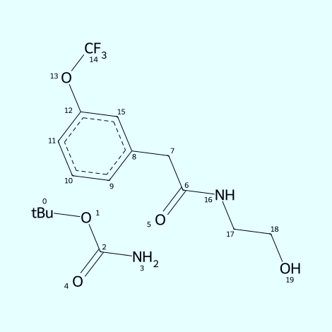 CC(C)(C)OC(N)=O.O=C(Cc1cccc(OC(F)(F)F)c1)NCCO